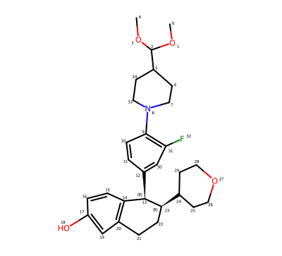 COC(OC)C1CCN(c2ccc([C@@H]3c4ccc(O)cc4CC[C@@H]3C3CCOCC3)cc2F)CC1